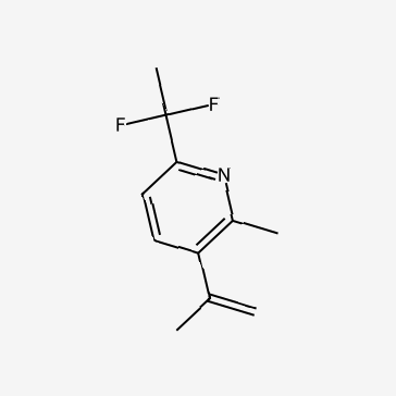 C=C(C)c1ccc(C(C)(F)F)nc1C